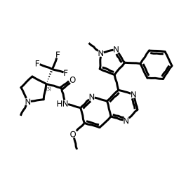 COc1cc2ncnc(-c3cn(C)nc3-c3ccccc3)c2nc1NC(=O)[C@]1(C(F)(F)F)CCN(C)C1